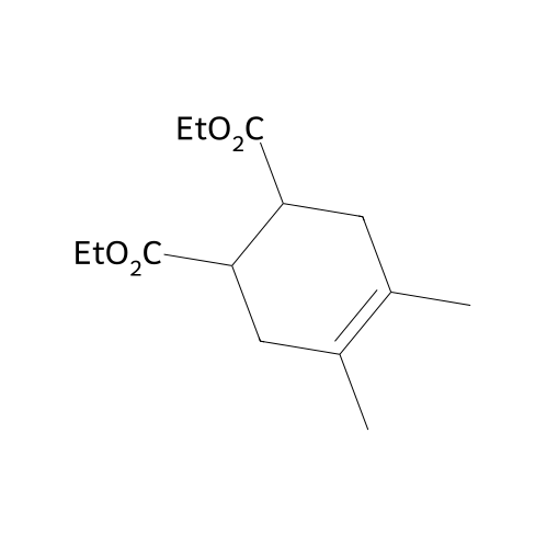 CCOC(=O)C1CC(C)=C(C)CC1C(=O)OCC